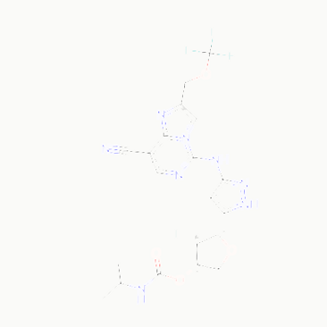 CC(C)NC(=O)O[C@H]1CO[C@@H](c2cc(Nc3ncc(C#N)c4nc(COC(F)(F)F)cn34)n[nH]2)[C@H]1F